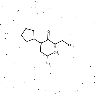 CCNC(=O)N(CC(C)C)C1CCCC1